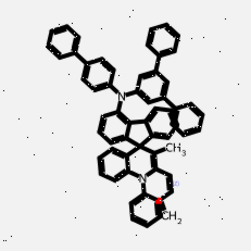 C=C/C=C\C1=C(C)C2(c3ccccc3-c3c(N(c4ccc(-c5ccccc5)cc4)c4cc(-c5ccccc5)cc(-c5ccccc5)c4)cccc32)c2ccccc2N1c1ccccc1